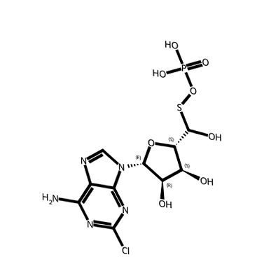 Nc1nc(Cl)nc2c1ncn2[C@@H]1O[C@H](C(O)SOP(=O)(O)O)[C@@H](O)[C@H]1O